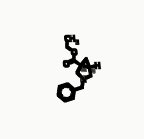 CCOC(=O)[C@@]12C[C@@H]1CN(Cc1ccccc1)C2